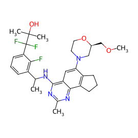 COC[C@H]1CN(c2cc3c(NC(C)c4cccc(C(F)(F)C(C)(C)O)c4F)nc(C)nc3c3c2CCC3)CCO1